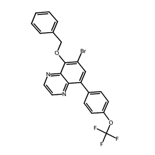 FC(F)(F)Oc1ccc(-c2cc(Br)c(OCc3ccccc3)c3nccnc23)cc1